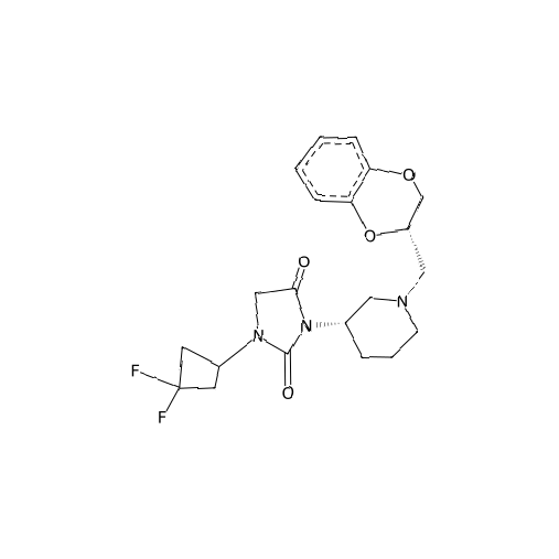 O=C1CN(C2CC(F)(F)C2)C(=O)N1[C@H]1CCCN(C[C@H]2COc3ccccc3O2)C1